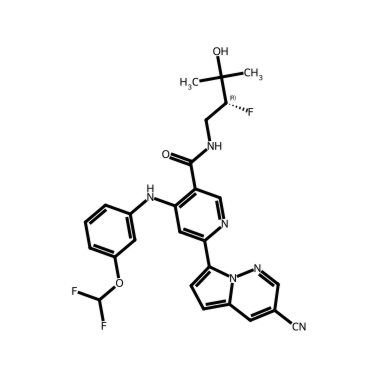 CC(C)(O)[C@H](F)CNC(=O)c1cnc(-c2ccc3cc(C#N)cnn23)cc1Nc1cccc(OC(F)F)c1